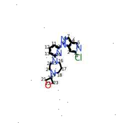 Clc1cc2c(cn1)cnn2-c1cccc(N2CCCN(C3COC3)CC2)n1